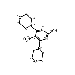 Cc1nc(N2CCOCC2)c([N+](=O)[O-])c(N2CCOCC2)n1